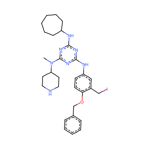 CN(c1nc(Nc2ccc(OCc3ccccc3)c(CI)c2)nc(NC2CCCCCC2)n1)C1CCNCC1